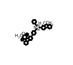 CC1(C)c2ccccc2-c2ccc(-c3nc(-c4ccccc4)nc(-c4ccc(-c5ccc6c(c5)C5(c7ccccc7-6)c6ccccc6C(C)(C)c6ccccc65)cc4)n3)cc21